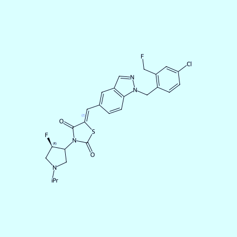 CC(C)N1CC(N2C(=O)S/C(=C\c3ccc4c(cnn4Cc4ccc(Cl)cc4CF)c3)C2=O)[C@H](F)C1